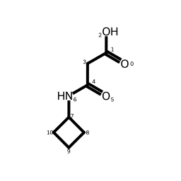 O=C(O)CC(=O)NC1CCC1